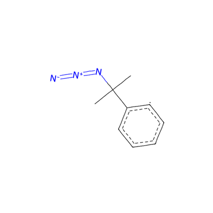 CC(C)(N=[N+]=[N-])c1[c]cccc1